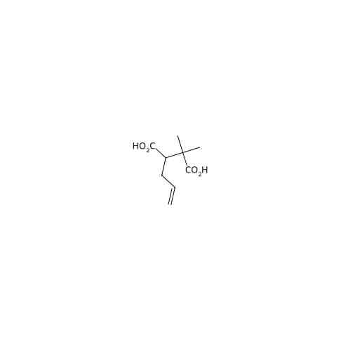 C=CCC(C(=O)O)C(C)(C)C(=O)O